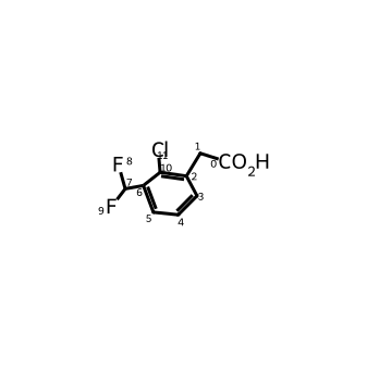 O=C(O)Cc1cccc(C(F)F)c1Cl